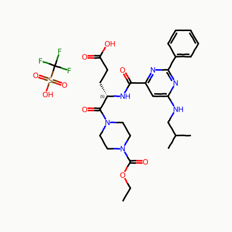 CCOC(=O)N1CCN(C(=O)[C@H](CCC(=O)O)NC(=O)c2cc(NCC(C)C)nc(-c3ccccc3)n2)CC1.O=S(=O)(O)C(F)(F)F